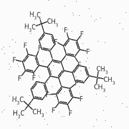 CC(C)(C)c1ccc(-c2c(-c3c(F)c(F)c(F)c(F)c3F)c(-c3ccc(C(C)(C)C)cc3)c(-c3c(F)c(F)c(F)c(F)c3F)c(-c3ccc(C(C)(C)C)cc3)c2-c2c(F)c(F)c(F)c(F)c2F)cc1